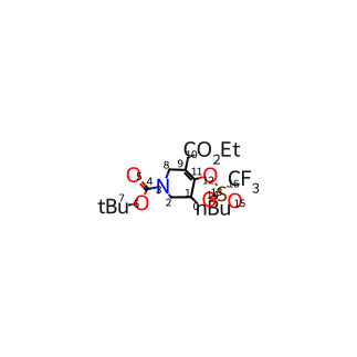 CCCCC1CN(C(=O)OC(C)(C)C)CC(C(=O)OCC)=C1OS(=O)(=O)C(F)(F)F